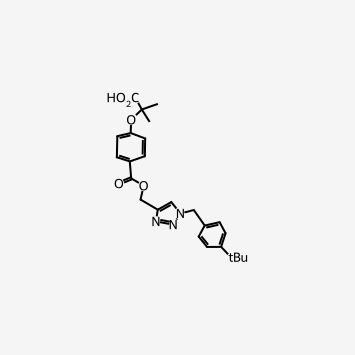 CC(C)(Oc1ccc(C(=O)OCc2cn(Cc3ccc(C(C)(C)C)cc3)nn2)cc1)C(=O)O